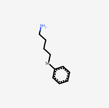 NCCCC[Se]c1ccccc1